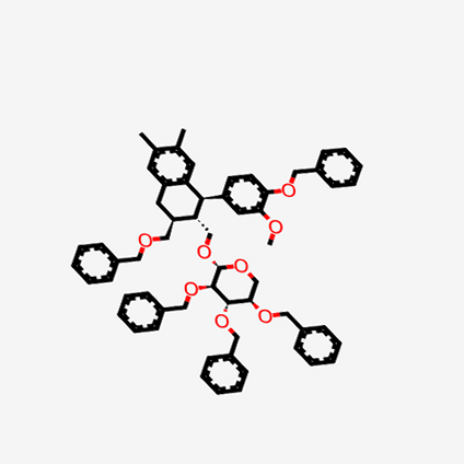 COc1cc([C@@H]2c3cc(C)c(C)cc3C[C@H](COCc3ccccc3)[C@H]2CO[C@@H]2OC[C@@H](OCc3ccccc3)[C@H](OCc3ccccc3)[C@H]2OCc2ccccc2)ccc1OCc1ccccc1